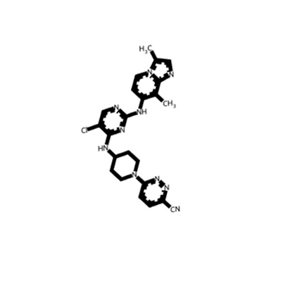 Cc1c(Nc2ncc(Cl)c(NC3CCN(c4ccc(C#N)nn4)CC3)n2)ccn2c(C)cnc12